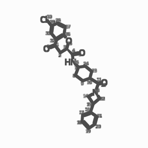 O=C1C[C@H](C(=O)NC2CCC(C(=O)N3CC(c4ccccc4)C3)CC2)Oc2ccc(Cl)cc21